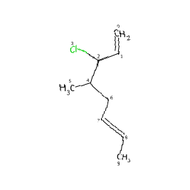 C=CC(Cl)C(C)CC=CC